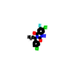 CC(c1ccc(Cl)cc1)n1c(=O)[nH]c2cc(Cl)c(F)cc2c1=O